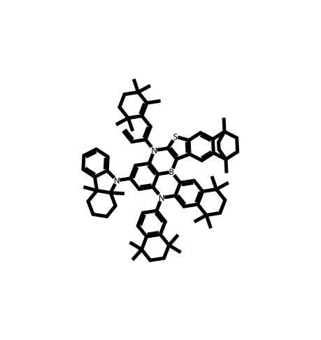 C=C/C(=C\C1=C(C)C(C)(C)CCC1(C)C)N1c2cc(N3c4ccccc4C4(C)CCCCC34C)cc3c2B(c2cc4c(cc2N3c2ccc3c(c2)C(C)(C)CCC3(C)C)C(C)(C)CCC4(C)C)c2c1sc1cc3c(cc21)C1(C)CCC3(C)CC1